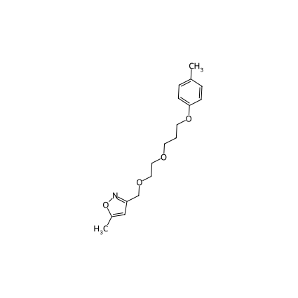 Cc1ccc(OCCCOCCOCc2cc(C)on2)cc1